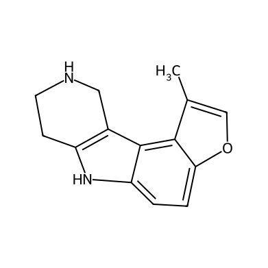 Cc1coc2ccc3[nH]c4c(c3c12)CNCC4